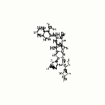 COc1cc(N2CCC(N3CC(F)C3)C2)c(-c2cnn(C)c2)cc1Nc1ncc(Br)c(Nc2ccc3nccnc3c2P(C)C)n1